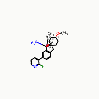 [2H]C1([2H])OC(N)=N[C@]12c1cc(-c3cccnc3F)ccc1C[C@@]21CC[C@H](OC)[C@@H](C)C1